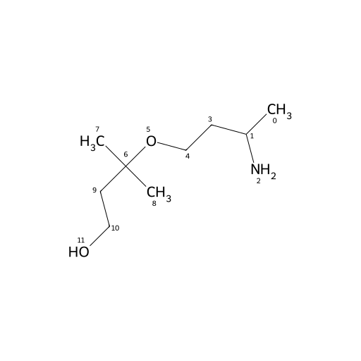 CC(N)CCOC(C)(C)CCO